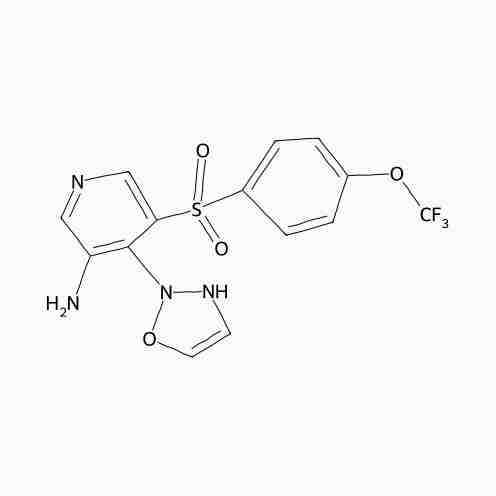 Nc1cncc(S(=O)(=O)c2ccc(OC(F)(F)F)cc2)c1N1NC=CO1